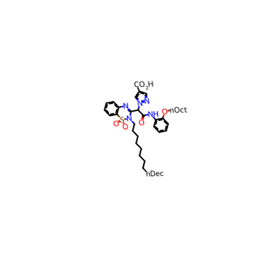 CCCCCCCCCCCCCCCCCCN1C(C(C(=O)Nc2ccccc2OCCCCCCCC)n2cc(C(=O)O)cn2)=Nc2ccccc2S1(=O)=O